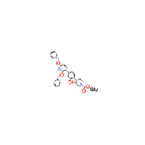 CC(C)(C)OC(=O)N1CC=C(c2ccc(-c3ccc(OCc4ccccc4)nc3OCc3ccccc3)cc2O)CC1